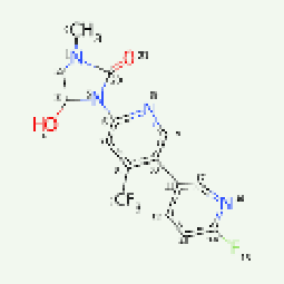 CN1CC(O)N(c2cc(C(F)(F)F)c(-c3ccc(F)nc3)cn2)C1=O